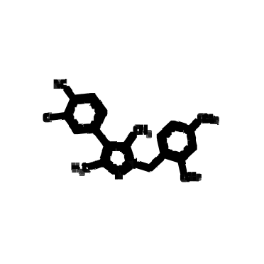 COc1ccc(Cn2nc(C)c(-c3ccc(C#N)c(Cl)c3)c2C)c(OC)c1